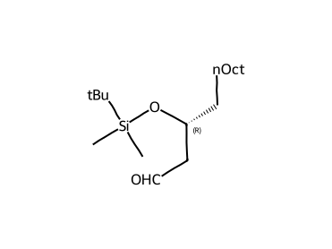 CCCCCCCCC[C@H](CC=O)O[Si](C)(C)C(C)(C)C